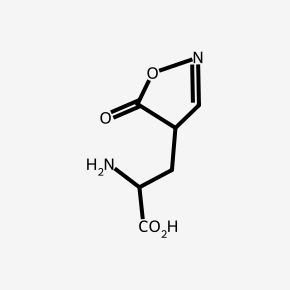 NC(CC1C=NOC1=O)C(=O)O